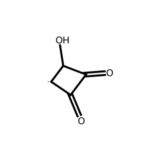 O=C1[CH]C(O)C1=O